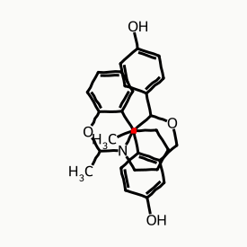 CC(Oc1ccccc1C1(C)c2ccc(O)cc2COC1c1ccc(O)cc1)N1CCCCC1